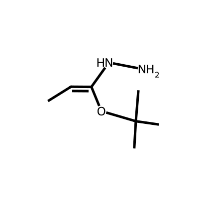 CC=C(NN)OC(C)(C)C